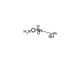 CCCC(=N)CCCCNC(=O)Nc1ccc(N)cc1